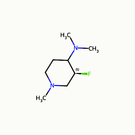 CN1CCC(N(C)C)[C@@H](F)C1